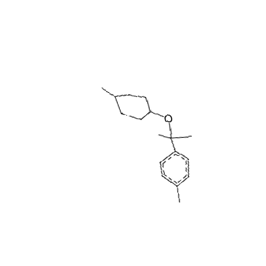 Cc1ccc(C(C)(C)OC2CCC(C)CC2)cc1